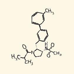 Cc1cccc(-c2cccc(C[C@@H]3[C@H](NS(C)(=O)=O)CCN3C(=O)C(C)C)c2)c1